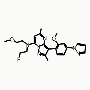 COCCN(CCF)c1cc(C)nc2c(-c3ccc(-n4cccn4)cc3OC)c(C)nn12